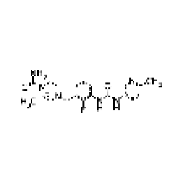 Cc1ccc(NC(=O)Nc2cccc(CN3CCN(C(N)=O)[C@@H](C)C3)c2F)cn1